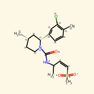 CC(/C=C\S(C)(=O)=O)NC(=O)N1CC[C@H](C)C[C@@H]1c1ccc(C#N)c(Cl)c1